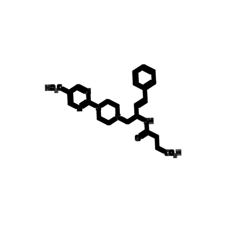 O=C(O)CCC(=O)NC(/C=C/c1ccccc1)CN1CCN(c2ncc(C(=O)O)cn2)CC1